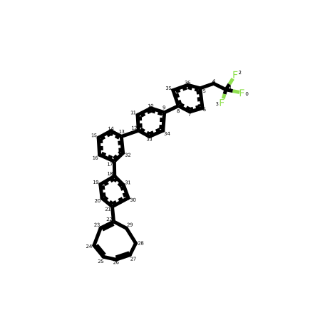 FC(F)(F)Cc1ccc(-c2ccc(-c3cccc(-c4ccc(/C5=C/C=C\C=C/CC5)cc4)c3)cc2)cc1